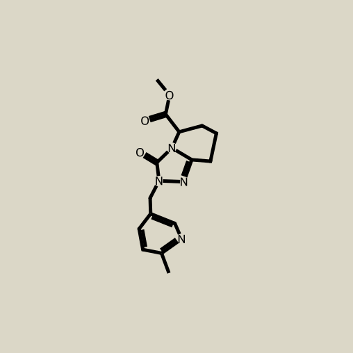 COC(=O)C1CCCc2nn(Cc3ccc(C)nc3)c(=O)n21